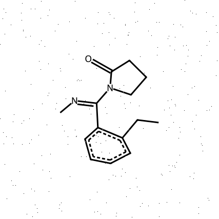 CCc1ccccc1/C(=N\C)N1CCCC1=O